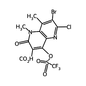 Cc1c(Br)c(Cl)nc2c(OS(=O)(=O)C(F)(F)F)c(C(=O)O)c(=O)n(C)c12